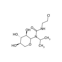 CC(C)N(C(=O)NCCCl)C1OC[C@@H](O)[C@H](O)[C@H]1O